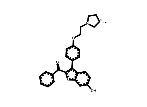 C[C@H]1CCN(CCOc2ccc(-c3c(C(=O)c4ccccc4)sc4cc(O)ccc34)cc2)C1